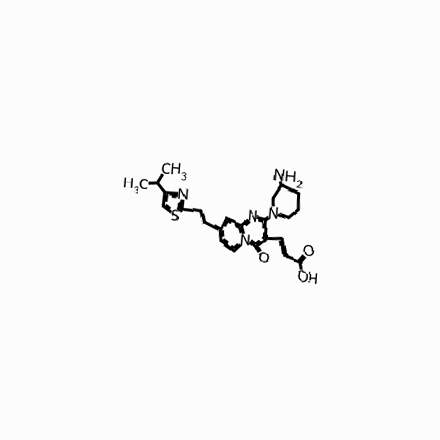 CC(C)c1csc(CCc2ccn3c(=O)c(C=CC(=O)O)c(N4CCCC(N)C4)nc3c2)n1